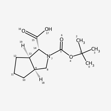 CC(C)(C)OC(=O)N1C[C@H]2CCC[C@H]2[C@@H]1C(=O)O